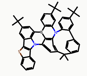 CC(C)(C)c1ccc2c(c1)-c1ccc(cc1)C(C)(C)c1cc3c4c(c1)-n1c5c(cc(C(C)(C)C)cc5c5sc6ccccc6c51)B4c1ccc(C(C)(C)C)cc1N23